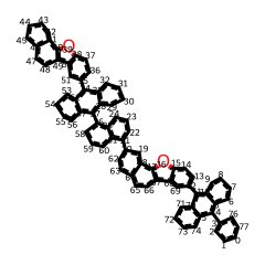 c1ccc(-c2c3ccccc3c(-c3ccc4oc5c6cc(-c7cccc8c(-c9c%10ccccc%10c(-c%10ccc%11oc%12c%13ccccc%13ccc%12c%11c%10)c%10ccccc9%10)cccc78)ccc6ccc5c4c3)c3ccccc23)cc1